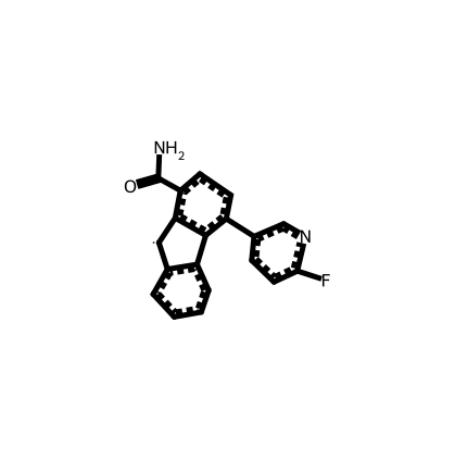 NC(=O)c1ccc(-c2ccc(F)nc2)c2c1[CH]c1ccccc1-2